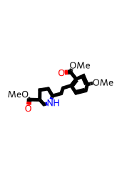 COC(=O)c1cc(OC)ccc1CCC1CCC(C(=O)OC)CN1